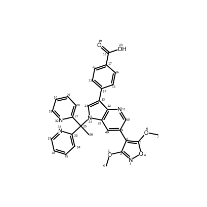 COc1noc(OC)c1-c1cnc2c(-c3ccc(C(=O)O)cc3)cn(C(C)(c3ccccn3)c3ccccn3)c2c1